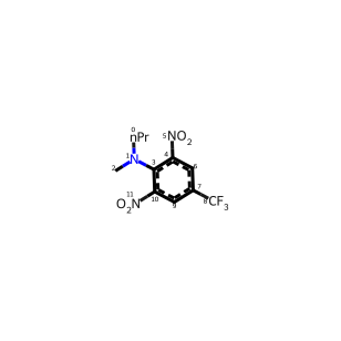 CCCN(C)c1c([N+](=O)[O-])cc(C(F)(F)F)cc1[N+](=O)[O-]